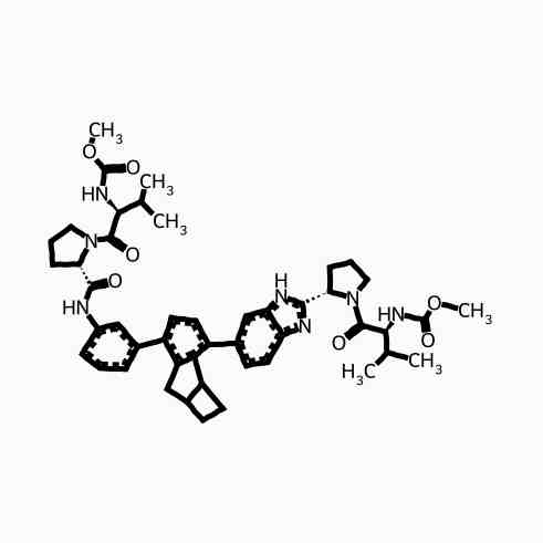 COC(=O)N[C@H](C(=O)N1CCC[C@H]1C(=O)Nc1cccc(-c2ccc(-c3ccc4nc([C@@H]5CCCN5C(=O)[C@@H](NC(=O)OC)C(C)C)[nH]c4c3)c3c2CC2CCC32)c1)C(C)C